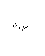 CCC[O][Zr]([CH3])[CH2]CC1CO1